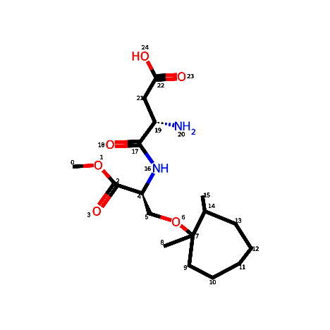 COC(=O)[C@H](COC1(C)CCCCCC1C)NC(=O)[C@@H](N)CC(=O)O